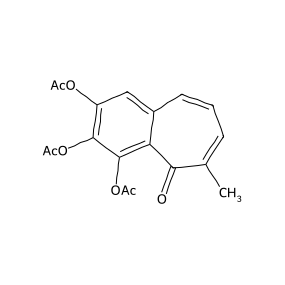 CC(=O)Oc1cc2cccc(C)c(=O)c2c(OC(C)=O)c1OC(C)=O